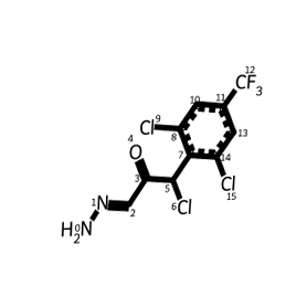 NN=CC(=O)C(Cl)c1c(Cl)cc(C(F)(F)F)cc1Cl